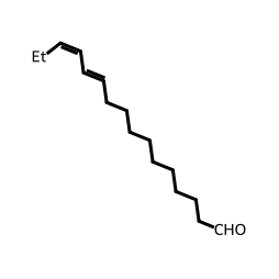 CC/C=C\C=C\CCCCCCCCCC=O